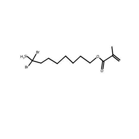 C=C(C)C(=O)OCCCCCCCC([SiH3])(Br)Br